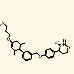 CC1C=C(OCCCN)CC(C)C1c1cccc(COc2ccc(C3CCON[S+]3[O-])cc2)c1